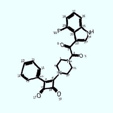 O=C(C(=O)N1CCN(c2c(-c3ccccc3)c(=O)c2=O)CC1)c1c[nH]c2cccc(F)c12